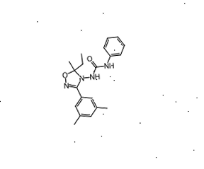 CCC1(C)ON=C(c2cc(C)cc(C)c2)N1NC(=O)Nc1ccccc1